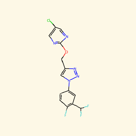 Fc1ccc(-n2cc(COc3ncc(Cl)cn3)nn2)cc1C(F)F